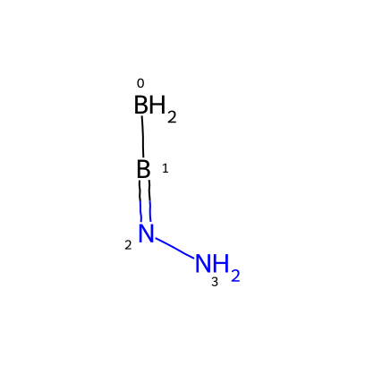 BB=NN